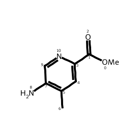 COC(=O)c1cc(C)c(N)cn1